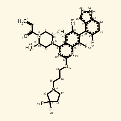 C=CC(=O)N1C[C@H](C)N(c2nc(OCCCN3CCC(F)(F)C3)nc3c(F)c(-c4c(F)ccc5[nH]ncc45)c(Cl)cc23)C[C@H]1C